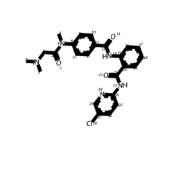 CN(C)CC(=O)N(C)c1ccc(C(=O)Nc2ccccc2C(=O)Nc2ccc(Cl)cn2)cc1